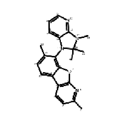 Cc1ccc2c(n1)oc1c(N3c4cccnc4N(C)C3(C)C)c(C)ccc12